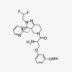 COc1cccc(OC[C@@H](N)C(=O)N2CCC3=NN(CC(F)F)C(=O)[C@]3(Cc3ccccn3)C2)c1